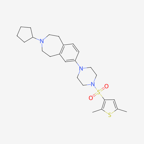 Cc1cc(S(=O)(=O)N2CCN(c3ccc4c(c3)CCN(C3CCCC3)CC4)CC2)c(C)s1